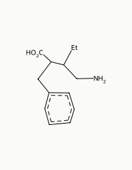 CCC(CN)C(Cc1ccccc1)C(=O)O